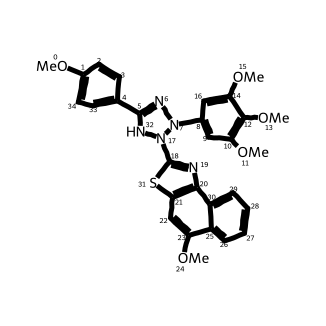 COc1ccc(C2=NN(c3cc(OC)c(OC)c(OC)c3)N(c3nc4c(cc(OC)c5ccccc54)s3)N2)cc1